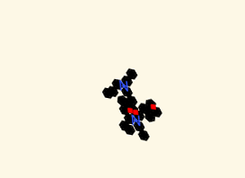 c1ccc(-c2ccc(N(c3ccc(-c4cccc5c4-c4ccccc4C5(c4ccccc4)c4cccc(-c5cc(-c6cccc7ccccc67)cc(N(c6ccc(-c7ccccc7)cc6)c6ccc(-c7cccc8c7-c7ccccc7C8(c7ccccc7)c7ccccc7)cc6)c5)c4)cc3)c3cccc(-c4ccc5ccccc5c4)c3)cc2)cc1